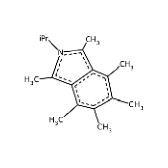 Cc1c(C)c(C)c2c(C)n(C(C)C)c(C)c2c1C